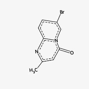 Cc1cc(=O)n2cc(Br)ccc2n1